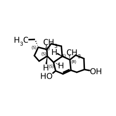 CC[C@H]1CC[C@H]2[C@@H]3C(O)C=C4CC(O)CC[C@]4(C)[C@H]3CC[C@]12C